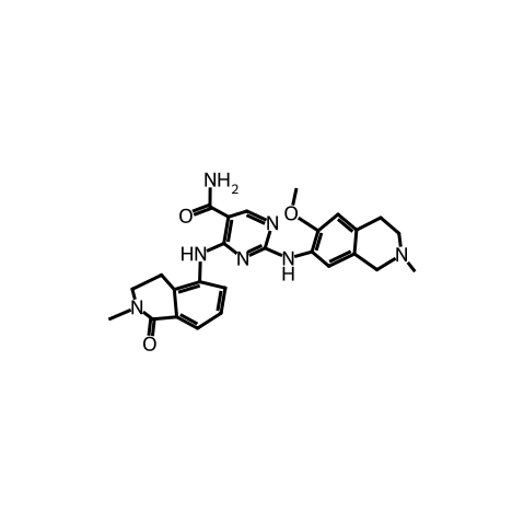 COc1cc2c(cc1Nc1ncc(C(N)=O)c(Nc3cccc4c3CCN(C)C4=O)n1)CN(C)CC2